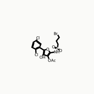 CC(=O)Oc1c(NS(=O)(=O)CCCBr)oc(-c2cc(Cl)ccc2Cl)c1O